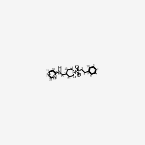 O=S(=O)(CCc1ccccc1)N1CCC(CNc2ccncn2)CC1